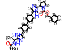 CC(C)[C@H](NC(=O)C(C)(C)C)c1ncc(-c2ccc(-c3ccc(-c4cnc([C@@H]5CCCN5C(=O)OCc5ccccc5)[nH]4)cc3)cc2)[nH]1